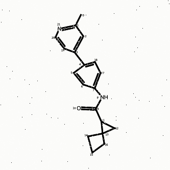 Cc1cc(-c2ccc(NC(=O)C3CC34CCC4)cc2)ccn1